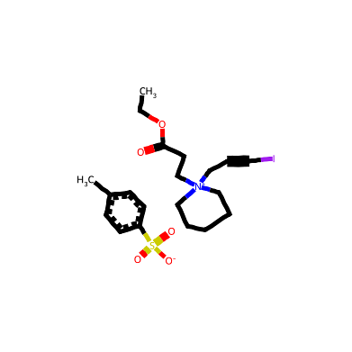 CCOC(=O)CC[N+]1(CC#CI)CCCCC1.Cc1ccc(S(=O)(=O)[O-])cc1